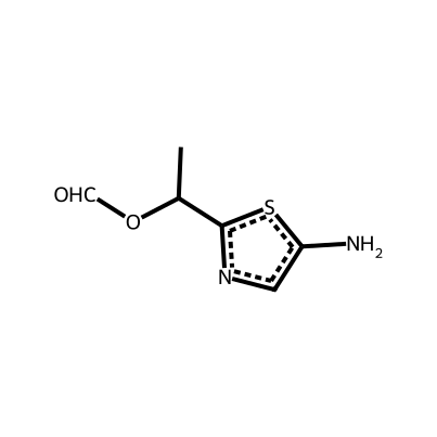 CC(OC=O)c1ncc(N)s1